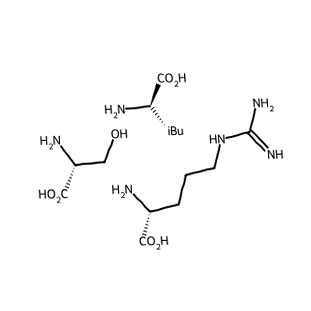 CC[C@@H](C)[C@@H](N)C(=O)O.N=C(N)NCCC[C@@H](N)C(=O)O.N[C@H](CO)C(=O)O